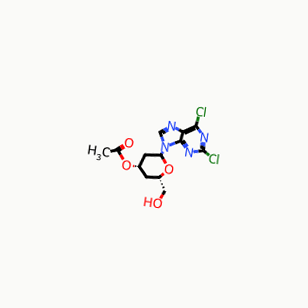 CC(=O)O[C@@H]1CC(n2cnc3c(Cl)nc(Cl)nc32)O[C@H](CO)C1